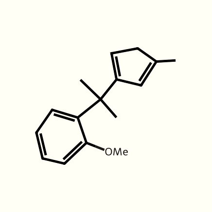 COc1ccccc1C(C)(C)C1=CCC(C)=C1